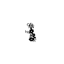 C=C(c1ccc(-c2ccc(-c3ncn(C)c(=O)n3)cc2O)nn1)[C@@H]1C[C@H]2CC[C@](C)(N2)[C@@H]1F